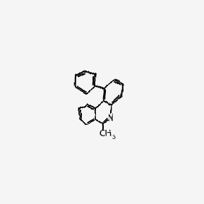 Cc1nc2cccc(-c3ccccc3)c2c2ccccc12